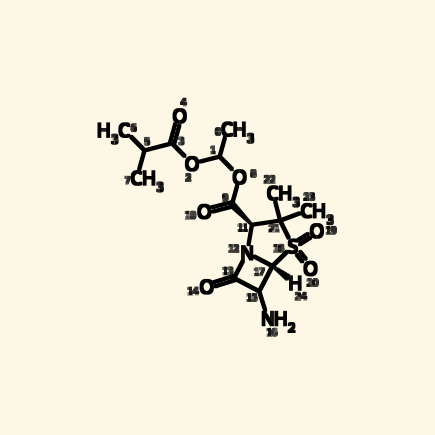 CC(OC(=O)C(C)C)OC(=O)[C@@H]1N2C(=O)C(N)[C@H]2S(=O)(=O)C1(C)C